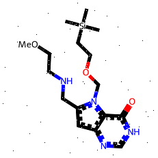 COCCNCc1cc2nc[nH]c(=O)c2n1COCC[Si](C)(C)C